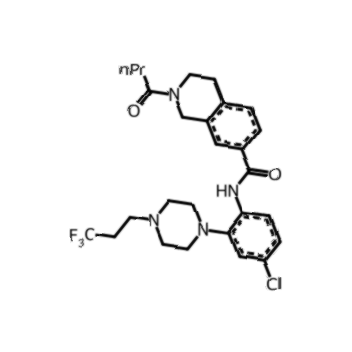 CCCC(=O)N1CCc2ccc(C(=O)Nc3ccc(Cl)cc3N3CCN(CCC(F)(F)F)CC3)cc2C1